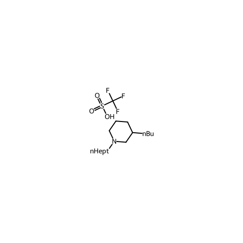 CCCCCCCN1CCCC(CCCC)C1.O=S(=O)(O)C(F)(F)F